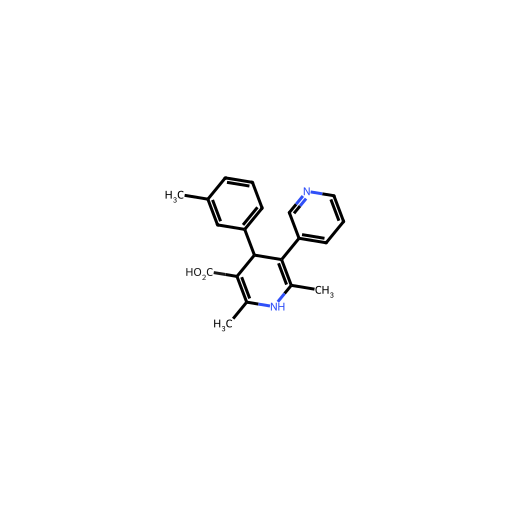 CC1=C(C(=O)O)C(c2cccc(C)c2)C(c2cccnc2)=C(C)N1